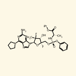 CC(C)OC(=O)[C@H](C)N[P@](=O)(OC[C@@]1(F)O[C@@H](n2cnc3c(N4CCCC4)nc(N)nc32)[C@](C)(F)[C@@H]1O)Oc1ccccc1